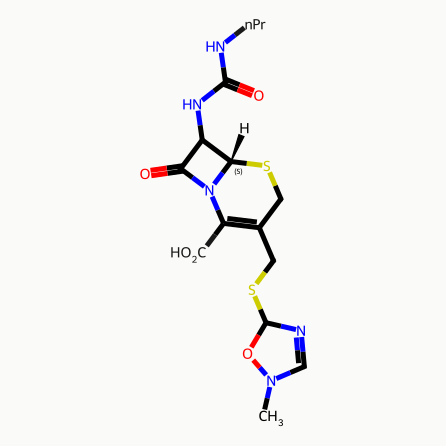 CCCNC(=O)NC1C(=O)N2C(C(=O)O)=C(CSC3N=CN(C)O3)CS[C@@H]12